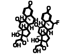 C[C@@H]1C[C@H]2[C@@H]3C[C@H](F)C4=CC(=O)C=C[C@]4(C)[C@H]3[C@@H](O)C[C@]2(C)[C@@]1(O)C(=O)CO.C[C@H]1C[C@H]2[C@@H]3CCC4=CC(=O)C=C[C@]4(C)[C@H]3C(=O)C[C@]2(C)[C@@]1(O)C(=O)CO